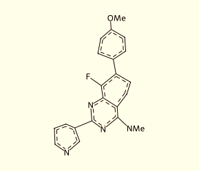 CNc1nc(-c2cccnc2)nc2c(F)c(-c3ccc(OC)cc3)ccc12